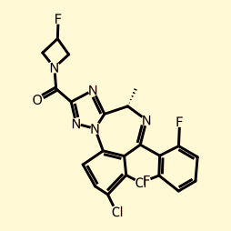 C[C@@H]1N=C(c2c(F)cccc2F)c2c(ccc(Cl)c2Cl)-n2nc(C(=O)N3CC(F)C3)nc21